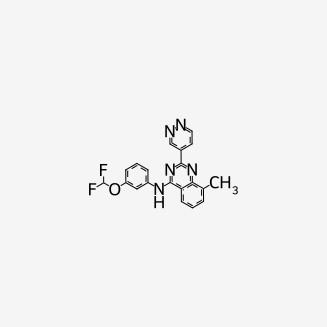 Cc1cccc2c(Nc3cccc(OC(F)F)c3)nc(-c3ccnnc3)nc12